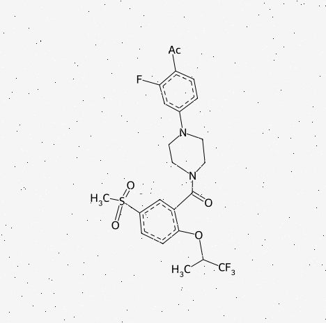 CC(=O)c1ccc(N2CCN(C(=O)c3cc(S(C)(=O)=O)ccc3OC(C)C(F)(F)F)CC2)cc1F